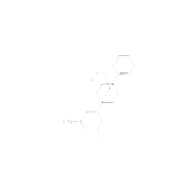 CCCN(CC(N)=O)C12CCC(c3ccccc3)(CC1)[C@H](O)C2